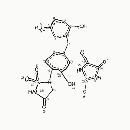 Cc1ccc(O)c(Cc2ccc(N3CC(=O)NS3(=O)=O)c(O)c2)c1.O=c1[nH][s+]([O-])[nH]c1=O